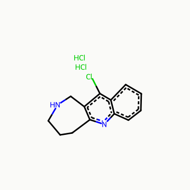 Cl.Cl.Clc1c2c(nc3ccccc13)CCCNC2